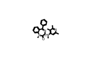 Cc1cc(N(C)[C@H]2N=C(c3ccccc3)c3ccccc3N(C)C2=O)c(C)c(C)n1